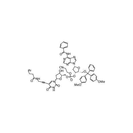 [C-]#[N+]CCOP(=O)(OC[C@H]1O[C@@H](n2cc(C#CCNC(=O)CCC(C)C)c(=O)[nH]c2=O)C[C@H]1O)O[C@@H]1C[C@H](n2cnc3c(NC(=O)c4ccccc4)ncnc32)O[C@@H]1COC(c1ccccc1)(c1ccc(OC)cc1)c1ccc(OC)cc1